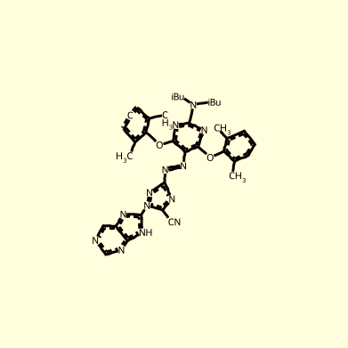 CCC(C)N(c1nc(Oc2c(C)cccc2C)c(N=Nc2nc(C#N)n(-c3nc4cncnc4[nH]3)n2)c(Oc2c(C)cccc2C)n1)C(C)CC